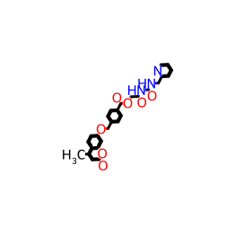 Cc1cc(=O)oc2cc(OCc3ccc(C(=O)OCC(=O)NC(=O)NCc4ccccn4)cc3)ccc12